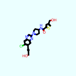 O=C(NC1CCN(c2cnc3cc(Cl)c(C#CCO)cc3n2)CC1)c1cc(CO)cs1